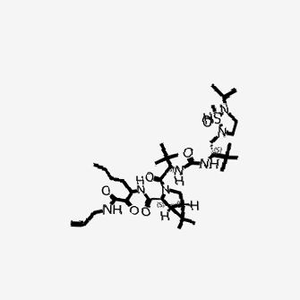 C=CCNC(=O)C(=O)C(CCCC)NC(=O)[C@@H]1[C@@H]2[C@H](CN1C(=O)[C@@H](NC(=O)N[C@H](CN1CCN(C(C)C)[SH]1(C)=O)C(C)(C)C)C(C)(C)C)C2(C)C